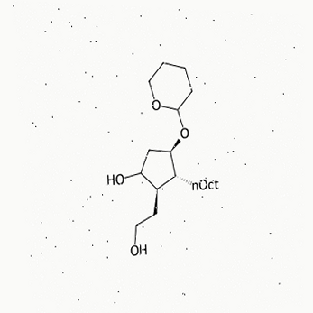 CCCCCCCC[C@H]1[C@H](OC2CCCCO2)CC(O)[C@@H]1CCO